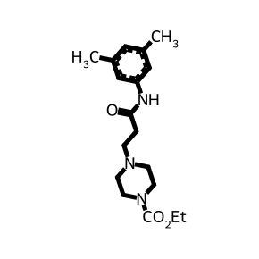 CCOC(=O)N1CCN(CCC(=O)Nc2cc(C)cc(C)c2)CC1